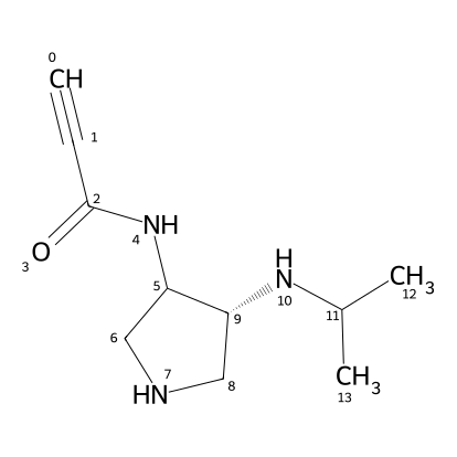 C#CC(=O)NC1CNC[C@H]1NC(C)C